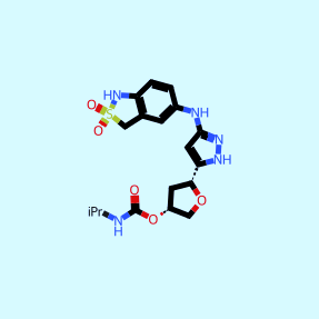 CC(C)NC(=O)O[C@H]1CO[C@@H](c2cc(Nc3ccc4c(c3)CS(=O)(=O)N4)n[nH]2)C1